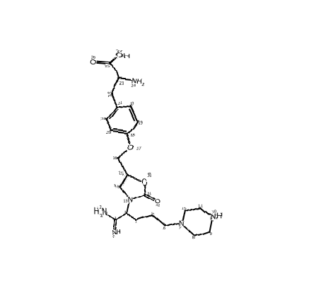 N=C(N)C(CCCN1CCNCC1)N1CC(COc2ccc(CC(N)C(=O)O)cc2)OC1=O